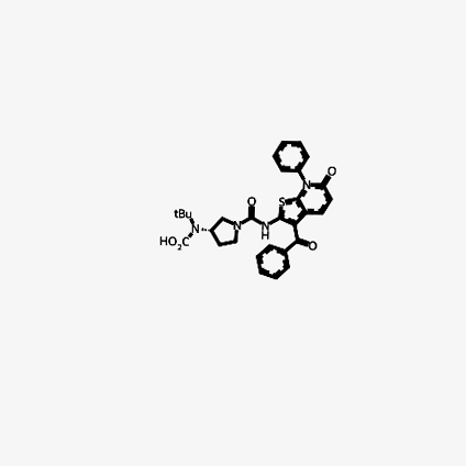 CC(C)(C)N(C(=O)O)[C@H]1CCN(C(=O)Nc2sc3c(ccc(=O)n3-c3ccccc3)c2C(=O)c2ccccc2)C1